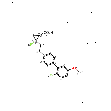 CC(C)Oc1ccc(F)c(-c2ccc(CC[C@]3(F)C[C@H]3C(=O)O)cc2)c1